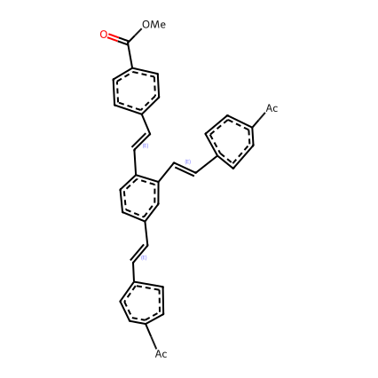 COC(=O)c1ccc(/C=C/c2ccc(/C=C/c3ccc(C(C)=O)cc3)cc2/C=C/c2ccc(C(C)=O)cc2)cc1